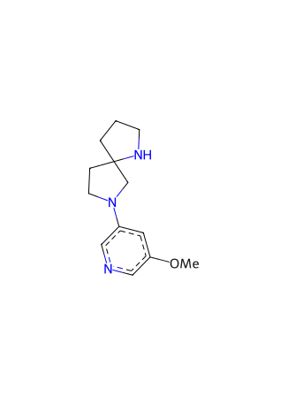 COc1cncc(N2CCC3(CCCN3)C2)c1